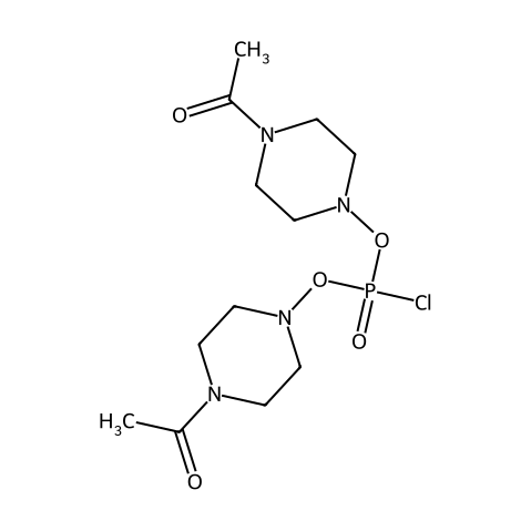 CC(=O)N1CCN(OP(=O)(Cl)ON2CCN(C(C)=O)CC2)CC1